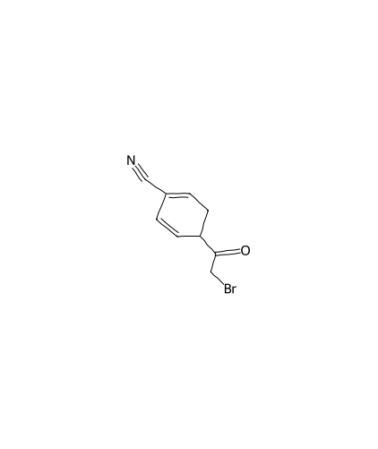 N#CC1=CCC(C(=O)CBr)C=C1